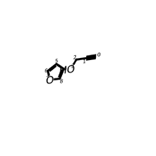 C#CCO.c1ccoc1